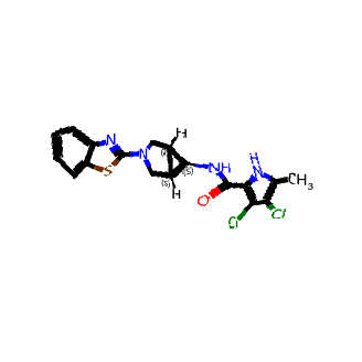 Cc1[nH]c(C(=O)N[C@H]2[C@@H]3CN(c4nc5ccccc5s4)C[C@@H]32)c(Cl)c1Cl